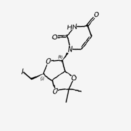 CC1(C)OC2C(O1)[C@@H](CI)O[C@H]2n1ccc(=O)[nH]c1=O